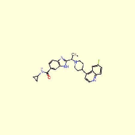 CC(c1nc2ccc(C(=O)NC3CC3)cc2[nH]1)N1CCC(c2ccnc3ccc(F)cc23)CC1